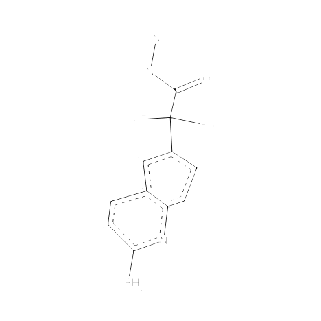 Bc1ccc2cc(C(F)(F)C(=O)NN)ccc2n1